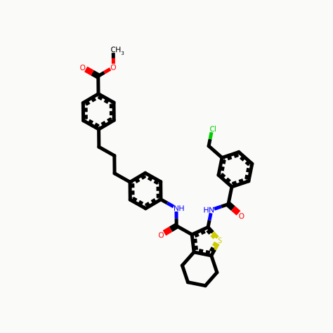 COC(=O)c1ccc(CCCc2ccc(NC(=O)c3c(NC(=O)c4cccc(CCl)c4)sc4c3CCCC4)cc2)cc1